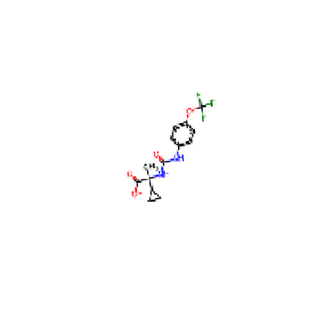 CC(NC(=O)Nc1ccc(OC(F)(F)F)cc1)(C(=O)O)C1CC1